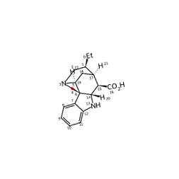 CC[C@@H]1CN2CC[C@]34c5ccccc5N[C@H]3[C@H](C(=O)O)[C@H]1C[C@H]24